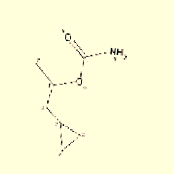 CC(CC1CC1)OC(N)=O